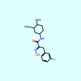 O=C(NC1CCC([SeH])C([SeH])C1)/C(Cc1cccc(F)c1)=N/O